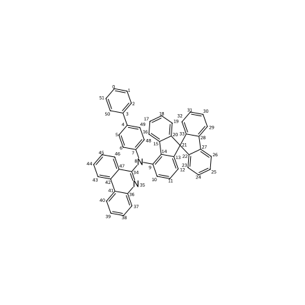 c1ccc(-c2ccc(N(c3cccc4c3-c3ccccc3C43c4ccccc4-c4ccccc43)c3nc4ccccc4c4ccccc34)cc2)cc1